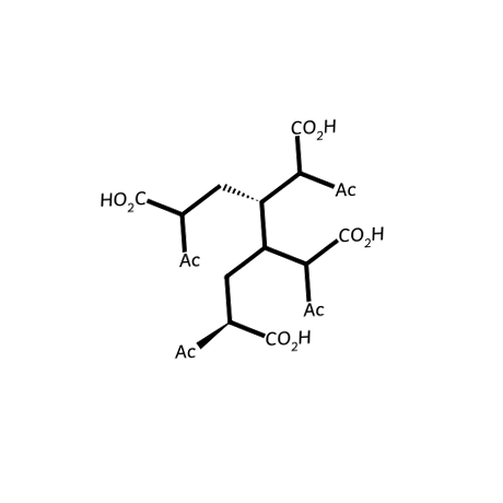 CC(=O)C(C[C@H](C(C(C)=O)C(=O)O)C(C[C@H](C(C)=O)C(=O)O)C(C(C)=O)C(=O)O)C(=O)O